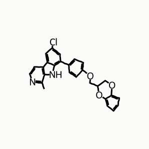 Cc1nccc2c1[nH]c1c(-c3ccc(OCC4COc5ccccc5O4)cc3)cc(Cl)cc12